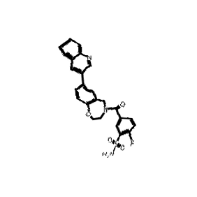 NS(=O)(=O)c1cc(C(=O)N2CCOc3ccc(-c4cnc5ccccc5c4)cc3C2)ccc1F